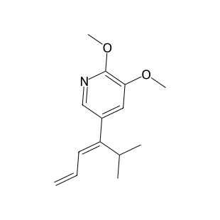 C=C/C=C(/c1cnc(OC)c(OC)c1)C(C)C